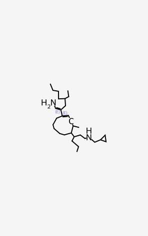 CCCCC(CC)CC(=C\N)/C1=C/CC(C)C(C(CCC)CCNCC2CC2)CCCCC1